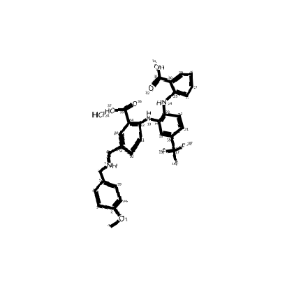 COc1ccc(CNCc2ccc(Nc3cc(C(F)(F)F)ccc3Nc3ccccc3C(=O)O)c(C(=O)O)c2)cc1.Cl